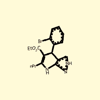 CCCC1=C(C(=O)OCC)C(c2ccccc2Br)c2c[nH]nc2N1